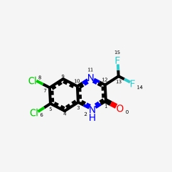 O=c1[nH]c2cc(Cl)c(Cl)cc2nc1C(F)F